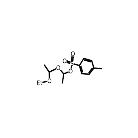 CCOC(C)OC(C)OS(=O)(=O)c1ccc(C)cc1